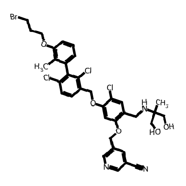 Cc1c(OCCCBr)cccc1-c1c(Cl)ccc(COc2cc(OCc3cncc(C#N)c3)c(CNC(C)(CO)CO)cc2Cl)c1Cl